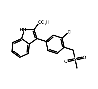 CS(=O)(=O)Cc1ccc(-c2c(C(=O)O)[nH]c3ccccc23)cc1Cl